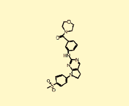 CS(=O)(=O)c1ccc(N2CCc3cnc(Nc4cccc(C(=O)N5CCOCC5)c4)nc32)cc1